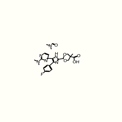 CN(C)C=O.CN(C)c1nccc(-c2[nH]c(C3OCC(C)(C(=O)O)CO3)nc2-c2ccc(F)cc2)n1